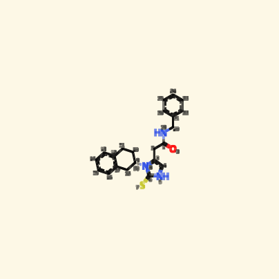 O=C(Cc1c[nH]c(=S)n1[C@H]1CCc2ccccc2C1)NCc1ccccc1